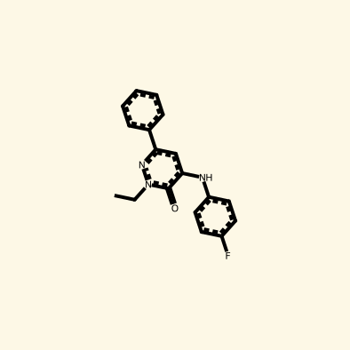 CCn1nc(-c2ccccc2)cc(Nc2ccc(F)cc2)c1=O